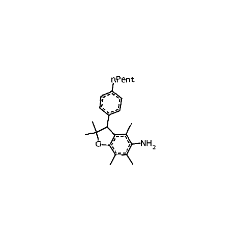 CCCCCc1ccc(C2c3c(C)c(N)c(C)c(C)c3OC2(C)C)cc1